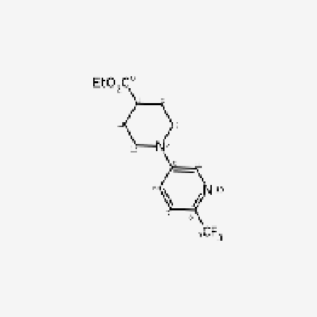 CCOC(=O)C1CCN(c2ccc(C(F)(F)F)nc2)CC1